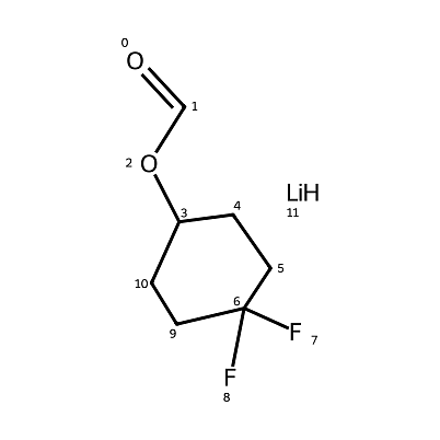 O=COC1CCC(F)(F)CC1.[LiH]